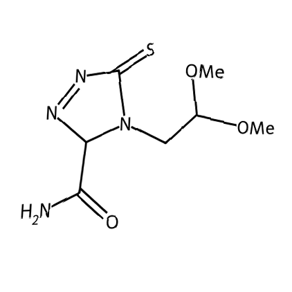 COC(CN1C(=S)N=NC1C(N)=O)OC